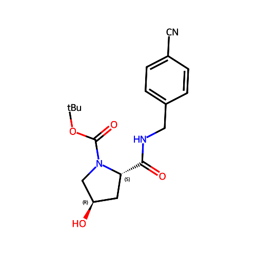 CC(C)(C)OC(=O)N1C[C@H](O)C[C@H]1C(=O)NCc1ccc(C#N)cc1